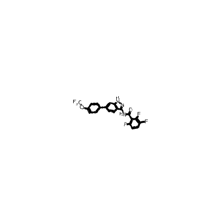 O=C(Nc1n[nH]c2cc(-c3ccc(OC(F)(F)F)cc3)ccc12)c1c(F)ccc(F)c1F